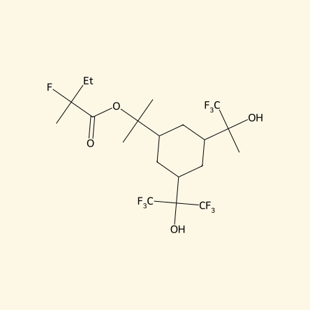 CCC(C)(F)C(=O)OC(C)(C)C1CC(C(C)(O)C(F)(F)F)CC(C(O)(C(F)(F)F)C(F)(F)F)C1